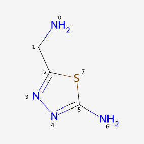 NCc1nnc(N)s1